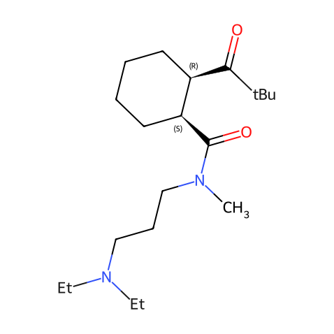 CCN(CC)CCCN(C)C(=O)[C@H]1CCCC[C@H]1C(=O)C(C)(C)C